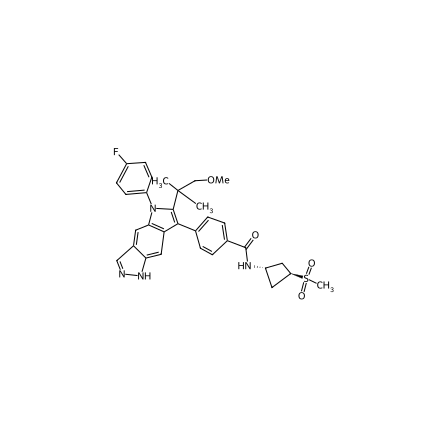 COCC(C)(C)c1c(-c2ccc(C(=O)N[C@H]3C[C@H](S(C)(=O)=O)C3)cc2)c2cc3[nH]ncc3cc2n1-c1ccc(F)cc1